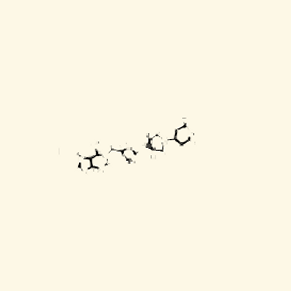 Cn1cnc2ncn(Cc3nc([C@@H]4[C@@H]5CN(c6ccnc(F)c6)C[C@@H]54)no3)c(=O)c21